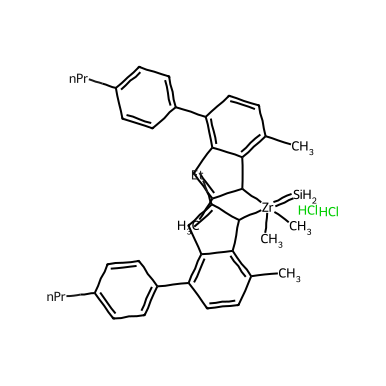 CCCc1ccc(-c2ccc(C)c3c2C=C(C)[CH]3[Zr]([CH3])([CH3])(=[SiH2])[CH]2C(CC)=Cc3c(-c4ccc(CCC)cc4)ccc(C)c32)cc1.Cl.Cl